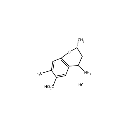 C[C@@H]1CC(N)c2cc(C(=O)O)c(C(F)(F)F)cc2O1.Cl